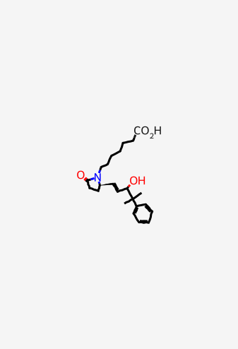 CC(C)(c1ccccc1)C(O)C=C[C@H]1CCC(=O)N1CCCCCCC(=O)O